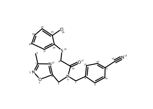 Cc1noc(CN(Cc2ccc(C#N)cc2)C(=O)CSc2ccccc2Cl)n1